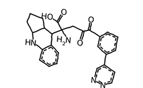 NC(CC(=O)C(=O)c1cccc(-c2ccnnc2)c1)(C(=O)O)C1c2ccccc2NC2CCCC21